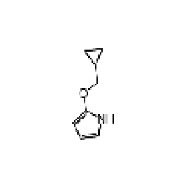 c1c[nH]c(OCC2CC2)c1